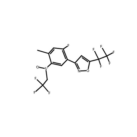 Cc1cc(F)c(-c2cc(C(F)(F)C(F)(F)F)on2)cc1[S+]([O-])CC(F)(F)F